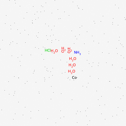 Cl.N.O.O.O.O.O.O.[Co]